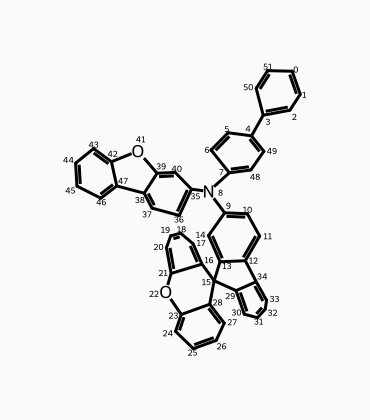 c1ccc(-c2ccc(N(c3ccc4c(c3)C3(c5ccccc5Oc5ccccc53)c3ccccc3-4)c3ccc4c(c3)oc3ccccc34)cc2)cc1